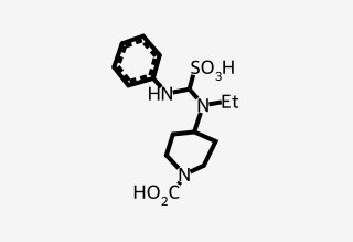 CCN(C1CCN(C(=O)O)CC1)C(Nc1ccccc1)S(=O)(=O)O